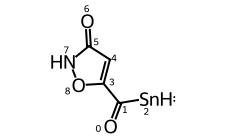 O=[C]([SnH])c1cc(=O)[nH]o1